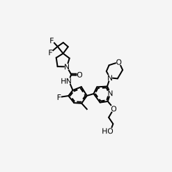 Cc1cc(F)c(NC(=O)N2CCC3(CCC3(F)F)C2)cc1-c1cc(OCCO)nc(N2CCOCC2)c1